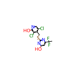 CC(F)(F)c1cc(O)nc(SCc2c(Cl)cnc(O)c2Cl)n1